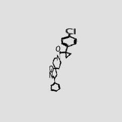 O=C(N1CCC2(CC1)CC(c1ccccc1)=NO2)C1(c2ccc(Cl)cc2)CC1